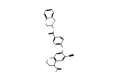 N#Cc1cc2c(cc1Oc1ccc(C(=O)NC3COc4ccccc4C3)cc1)OCCC2C(=O)O